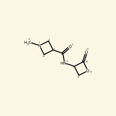 CN1CC(C(=O)NC2COC2=O)C1